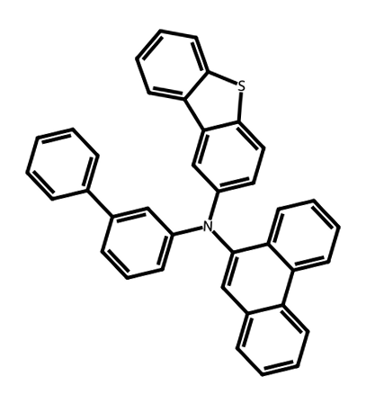 c1ccc(-c2cccc(N(c3ccc4sc5ccccc5c4c3)c3cc4ccccc4c4ccccc34)c2)cc1